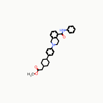 COC(=O)CC1CCC(c2ccc(N3CCc4c(cccc4C(=O)Nc4ccccc4)C3)cc2)CC1